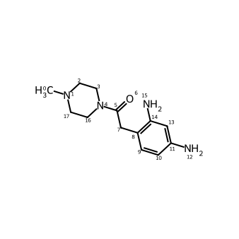 CN1CCN(C(=O)Cc2ccc(N)cc2N)CC1